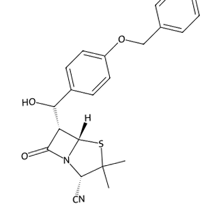 CC1(C)S[C@H]2[C@@H](C(O)c3ccc(OCc4ccccc4)cc3)C(=O)N2[C@H]1C#N